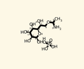 CC(N)OC[C@@H](O)[C@H]1O[C@@H](O)[C@@H](O)[C@@H](O)[C@@H]1O.O=P(O)(O)O